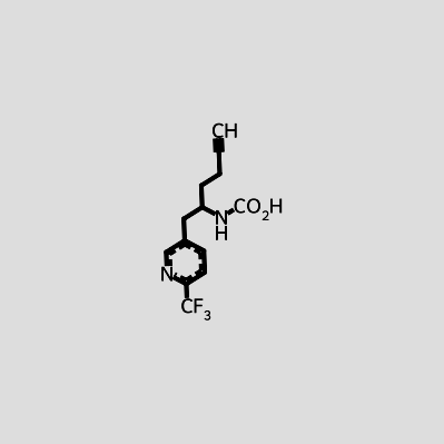 C#CCCC(Cc1ccc(C(F)(F)F)nc1)NC(=O)O